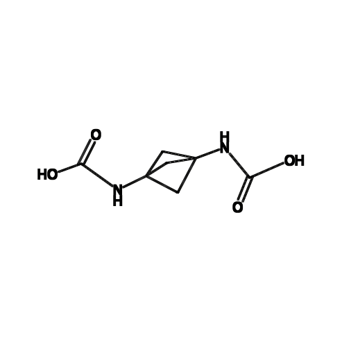 O=C(O)NC12CC(NC(=O)O)(C1)C2